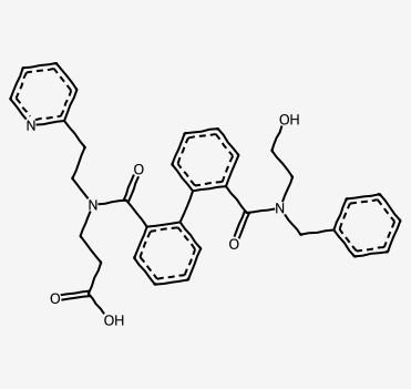 O=C(O)CCN(CCc1ccccn1)C(=O)c1ccccc1-c1ccccc1C(=O)N(CCO)Cc1ccccc1